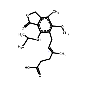 COc1c(C)c2c(c(NC(C)C)c1C/C=C(\C)CCC(=O)O)C(=O)OC2